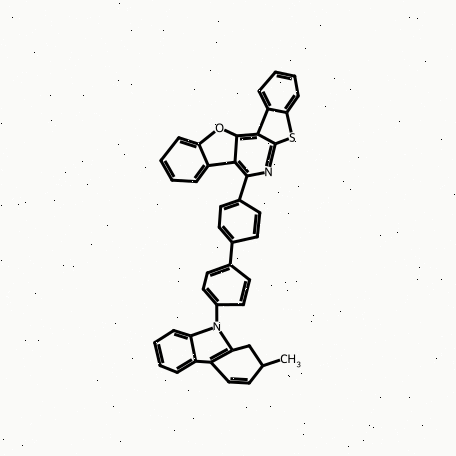 CC1C=Cc2c(n(-c3ccc(-c4ccc(-c5nc6sc7ccccc7c6c6oc7ccccc7c56)cc4)cc3)c3ccccc23)C1